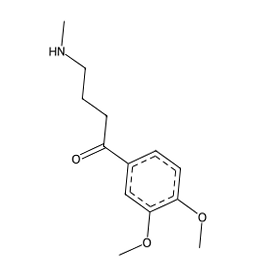 CNCCCC(=O)c1ccc(OC)c(OC)c1